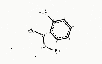 CC(C)(C)OOC(C)(C)C.O=Cc1ccccc1